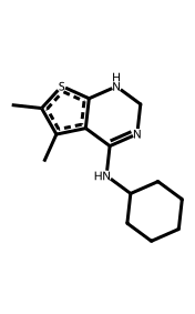 Cc1sc2c(c1C)C(NC1CCCCC1)=NCN2